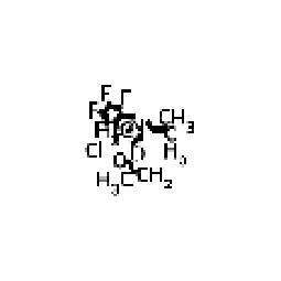 C=C(C)C(=O)OCC[N+](C)(CC=C(C)C)Cc1c(F)c(F)c(F)c(F)c1F.[Cl-]